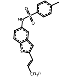 Cc1ccc(S(=O)(=O)Nc2ccc3sc(/C=C/C(=O)O)cc3c2)cc1